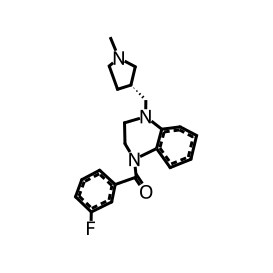 CN1CC[C@@H](CN2CCN(C(=O)c3cccc(F)c3)c3ccccc32)C1